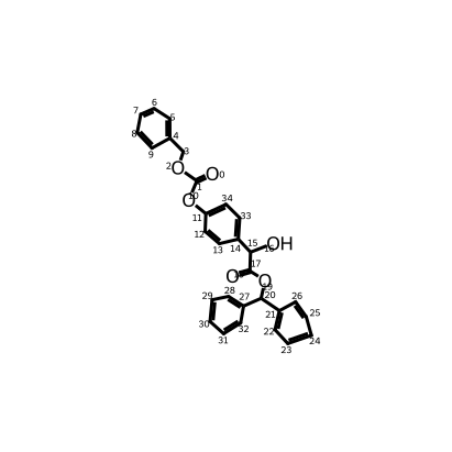 O=C(OCc1ccccc1)Oc1ccc(C(O)C(=O)OC(c2ccccc2)c2ccccc2)cc1